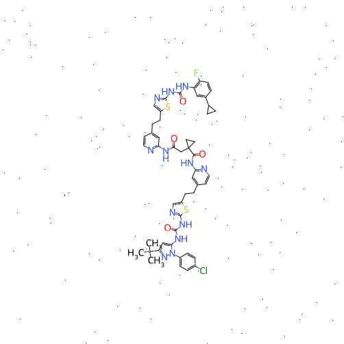 CC(C)(C)c1cc(NC(=O)Nc2ncc(CCc3ccnc(NC(=O)C4(CC(=O)Nc5cc(CCc6cnc(NC(=O)Nc7cc(C8CC8)ccc7F)s6)ccn5)CC4)c3)s2)n(-c2ccc(Cl)cc2)n1